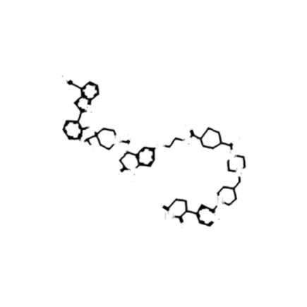 N#Cc1cccc2[nH]c(-c3ccccc3OC3(C(F)(F)F)CCN(C(=O)[C@H]4CC(=O)Nc5ccc(OCCNC(=O)C6CCC(C(=O)N7CCN(CC8CCN(c9cc(C%10CCC(=O)NC%10=O)ccn9)CC8)CC7)CC6)cc54)CC3)cc12